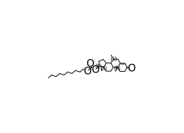 CCCCCCCCCCOC(=O)O[C@H]1CCC2C3C(CC[C@@]21C)[C@@]1(C)CCC(=O)C=C1C[C@@H]3C